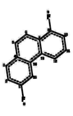 Fc1[c]cc2ccc3c(F)[c]ccc3c2c1